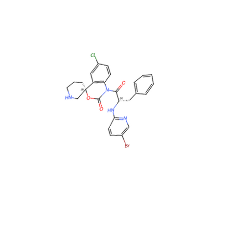 O=C1O[C@]2(CCCNC2)c2cc(Cl)ccc2N1C(=O)[C@H](Cc1ccccc1)Nc1ccc(Br)cn1